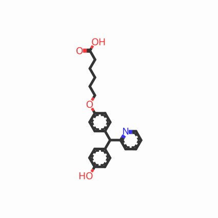 O=C(O)CCCCCOc1ccc(C(c2ccc(O)cc2)c2ccccn2)cc1